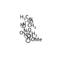 COc1cccc(CN2C(=O)N(c3cnn(Cc4c(C)noc4C)c3)C(=O)C2(C)C)n1